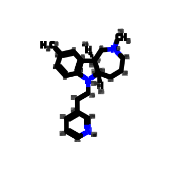 Cc1ccc2c(c1)[C@H]1CN(C)CCC[C@@H]1N2CCc1cccnc1